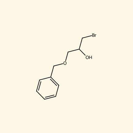 OC(CBr)COCc1ccccc1